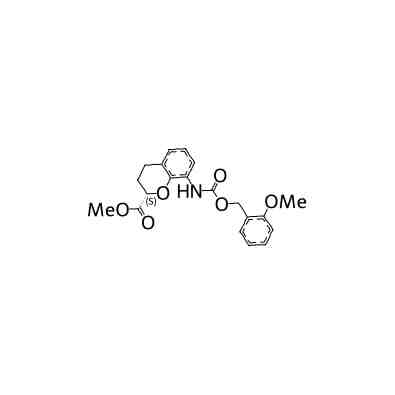 COC(=O)[C@@H]1CCc2cccc(NC(=O)OCc3ccccc3OC)c2O1